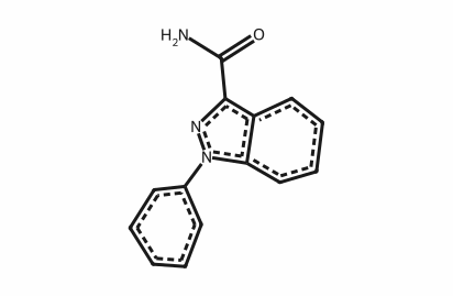 NC(=O)c1nn(-c2ccccc2)c2ccccc12